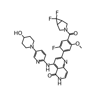 COc1cc(-c2cc(Nc3ccc(N4CCC(O)CC4)cn3)c3c(=O)[nH]ccc3n2)c(F)cc1C(=O)N1CC2C(C1)C2(F)F